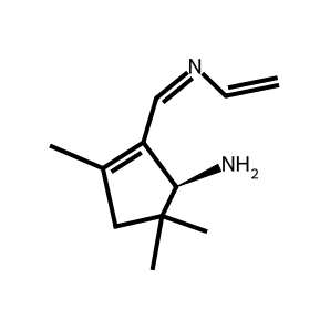 C=C/N=C\C1=C(C)CC(C)(C)[C@@H]1N